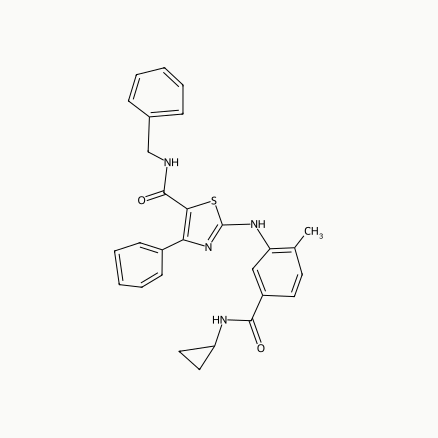 Cc1ccc(C(=O)NC2CC2)cc1Nc1nc(-c2ccccc2)c(C(=O)NCc2ccccc2)s1